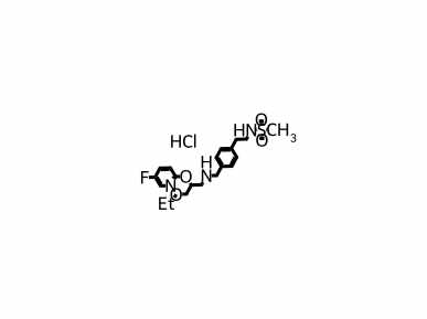 CCOCC(CNCc1ccc(CCNS(C)(=O)=O)cc1)Oc1ccc(F)cn1.Cl